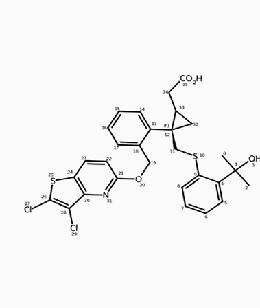 CC(C)(O)c1ccccc1SC[C@]1(c2ccccc2COc2ccc3sc(Cl)c(Cl)c3n2)CC1CC(=O)O